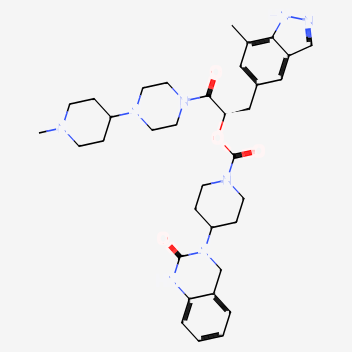 Cc1cc(C[C@@H](OC(=O)N2CCC(N3Cc4ccccc4NC3=O)CC2)C(=O)N2CCN(C3CCN(C)CC3)CC2)cc2cn[nH]c12